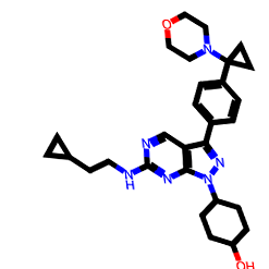 OC1CCC(n2nc(-c3ccc(C4(N5CCOCC5)CC4)cc3)c3cnc(NCCC4CC4)nc32)CC1